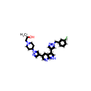 C[C@H](O)CN1CCC(n2cc(-c3cnc4[nH]cc(-c5cnn(Cc6cccc(F)c6)c5)c4c3)cn2)CC1